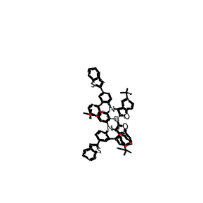 CC(C)(C)c1cc2c3c(c1)N(c1ccc(-c4cc5ccccc5s4)cc1-c1ccccc1)c1c(oc4ccc(C(C)(C)C)cc14)B3c1oc3ccc(C(C)(C)C)cc3c1N2c1ccc(-c2cc3ccccc3s2)cc1-c1ccccc1